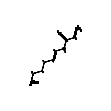 C=CC(=O)OC=CCCCCCCCCC